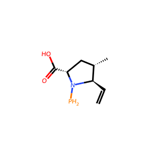 C=C[C@@H]1[C@@H](C)C[C@@H](C(=O)O)N1P